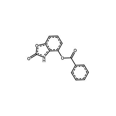 O=C(Oc1cccc2oc(=O)[nH]c12)c1ccccc1